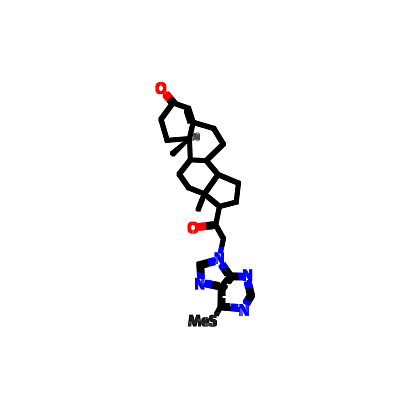 CSc1ncnc2c1ncn2CC(=O)C1CCC2C3CCC4=CC(=O)CC[C@@]4(C)C3CCC12C